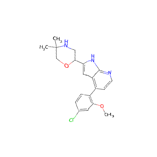 COc1cc(Cl)ccc1-c1ccnc2[nH]c(C3CNC(C)(C)CO3)cc12